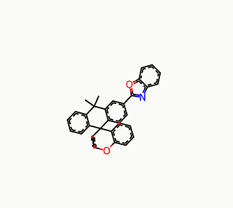 CC1(C)c2ccccc2C2(c3ccccc3Oc3ccccc32)c2ccc(-c3nc4ccccc4o3)cc21